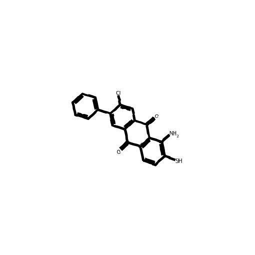 Nc1c(S)ccc2c1C(=O)c1cc(Cl)c(-c3ccccc3)cc1C2=O